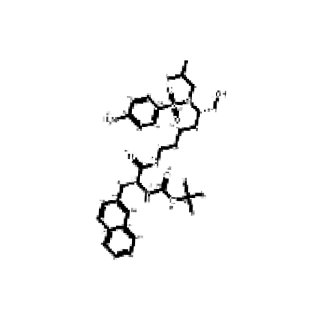 CC(C)CN([C@H](CO)CCCCNC(=O)[C@H](Cc1ccc2ccccc2c1)NC(=O)OC(C)(C)C)S(=O)(=O)c1ccc(N)cc1